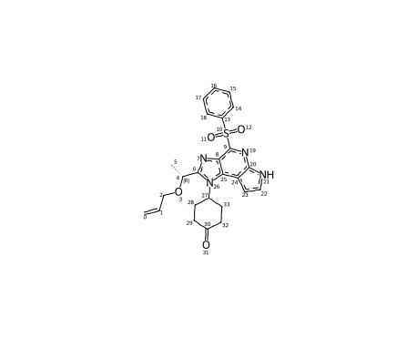 C=CCO[C@H](C)c1nc2c(S(=O)(=O)c3ccccc3)nc3[nH]ccc3c2n1C1CCC(=O)CC1